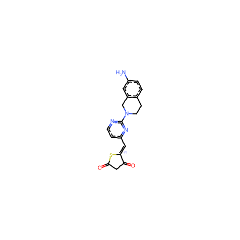 Nc1ccc2c(c1)CN(c1nccc(/C=C3\SC(=O)CC3=O)n1)CC2